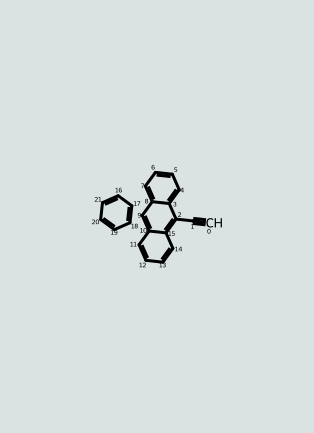 C#Cc1c2ccccc2cc2ccccc12.c1ccccc1